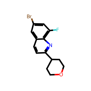 Fc1cc(Br)cc2ccc(C3CCOCC3)nc12